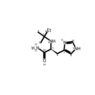 CCC(C)(C)N[C@@H](Cc1c[nH]cn1)C(N)=O